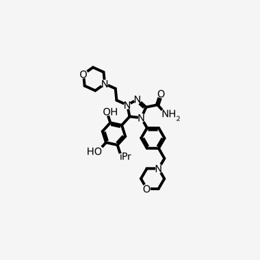 CC(C)c1cc(C2N(CCN3CCOCC3)N=C(C(N)=O)N2c2ccc(CN3CCOCC3)cc2)c(O)cc1O